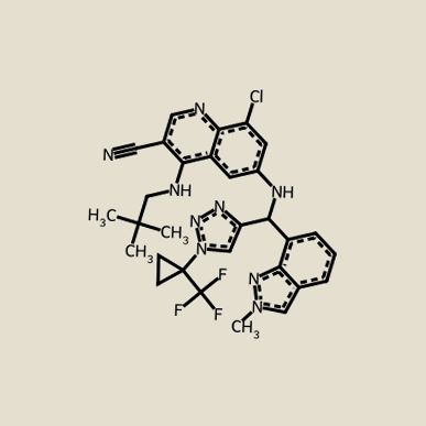 Cn1cc2cccc(C(Nc3cc(Cl)c4ncc(C#N)c(NCC(C)(C)C)c4c3)c3cn(C4(C(F)(F)F)CC4)nn3)c2n1